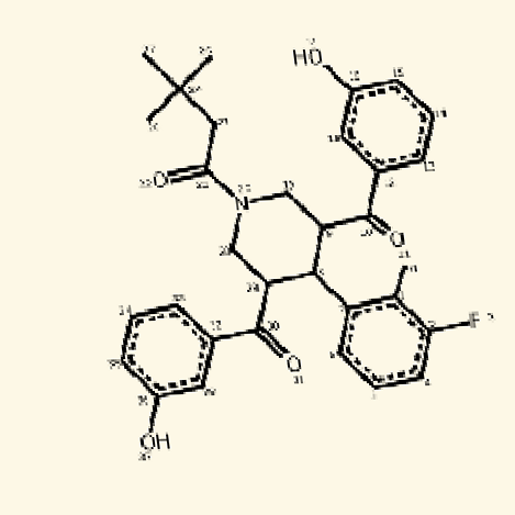 Cc1c(F)cccc1C1C(C(=O)c2cccc(O)c2)CN(C(=O)CC(C)(C)C)CC1C(=O)c1cccc(O)c1